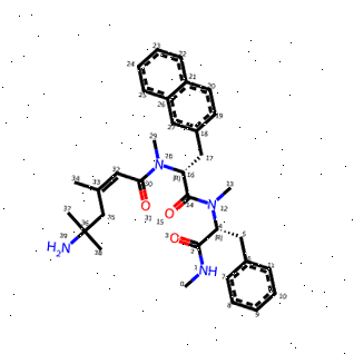 CNC(=O)[C@@H](Cc1ccccc1)N(C)C(=O)[C@@H](Cc1ccc2ccccc2c1)N(C)C(=O)C=C(C)CC(C)(C)N